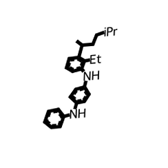 CCc1c(Nc2ccc(Nc3ccccc3)cc2)cccc1C(C)CCC(C)C